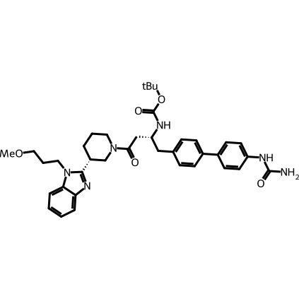 COCCCn1c([C@@H]2CCCN(C(=O)C[C@@H](Cc3ccc(-c4ccc(NC(N)=O)cc4)cc3)NC(=O)OC(C)(C)C)C2)nc2ccccc21